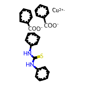 O=C([O-])c1ccccc1.O=C([O-])c1ccccc1.S=C(Nc1ccccc1)Nc1ccccc1.[Cu+2]